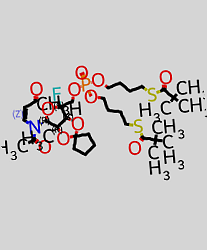 CC(=O)/C=C\N(C(C)=O)[C@@H]1O[C@](F)(COP(=O)(OCCCCSC(=O)C(C)(C)C)OCCCCSC(=O)C(C)(C)C)[C@H]2OC3(CCCC3)O[C@@]12C